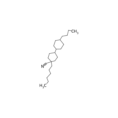 CCCCCCC1(C#N)CCC(C2CCC(CCCC)CC2)CC1